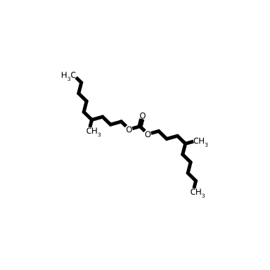 CCCCCC(C)CCCOC(=O)OCCCC(C)CCCCC